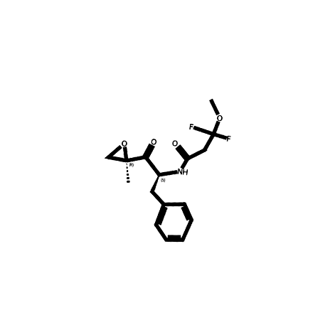 COC(F)(F)[CH]C(=O)N[C@@H](Cc1ccccc1)C(=O)[C@@]1(C)CO1